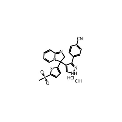 CS(=O)(=O)c1ccc(C2(c3c[nH]nc3-c3ccc(C#N)cc3)CN=C3C=CC=CN32)s1.Cl.Cl